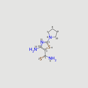 NC(=S)c1sc(N2CCCC2)nc1N